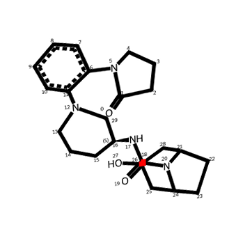 O=C1CCCN1c1ccccc1N1CCC[C@H](NC(=O)N2C3CCC2CC(O)C3)C1